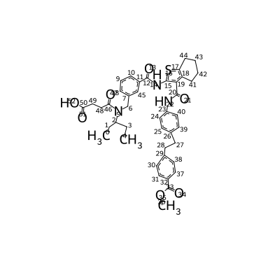 CCC(CC)N(Cc1cccc(C(=O)Nc2sc3c(c2C(=O)Nc2ccc(CCc4ccc(C(=O)OC)cc4)cc2)CCCC3)c1)C(=O)CCC(=O)O